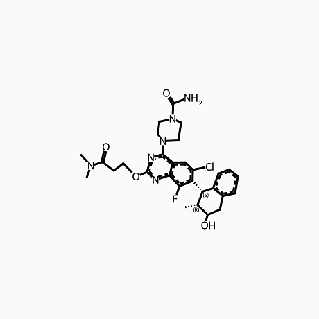 C[C@H]1C(O)Cc2ccccc2[C@H]1c1c(Cl)cc2c(N3CCN(C(N)=O)CC3)nc(OCCC(=O)N(C)C)nc2c1F